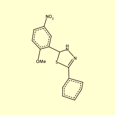 COc1ccc([N+](=O)[O-])cc1C1NN=C(c2ccccc2)S1